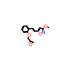 COc1cc(C=Cc2ccccc2OCC2CO2)on1